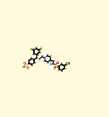 CS(=O)(=O)c1ccc([C@@H](CCN2CCC(CNS(=O)(=O)c3cccc(C#N)c3)CC2)c2cc(F)cc(F)c2)cc1